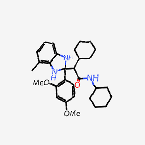 COc1ccc(C2(C(C(=O)NC3CCCCC3)C3CCCCC3)Nc3cccc(C)c3N2)c(OC)c1